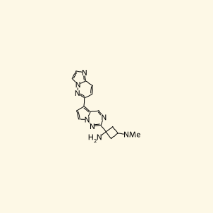 CNC1CC(N)(c2ncc3c(-c4ccc5nccn5n4)ccn3n2)C1